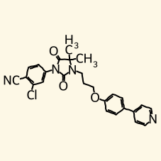 CC1(C)C(=O)N(c2ccc(C#N)c(Cl)c2)C(=O)N1CCCOc1ccc(-c2ccncc2)cc1